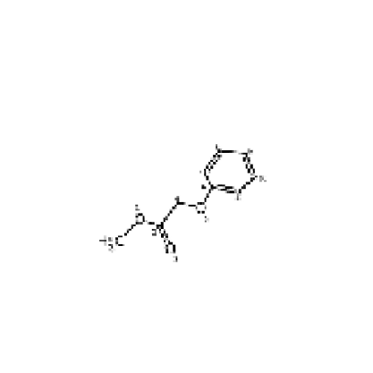 COC(=O)COc1[c]cc[c]c1